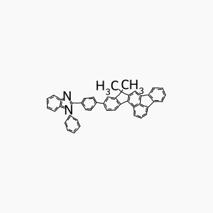 CC1(C)c2cc(-c3ccc(-c4nc5ccccc5n4-c4ccccc4)cc3)ccc2-c2c1cc1c3c(cccc23)-c2ccccc2-1